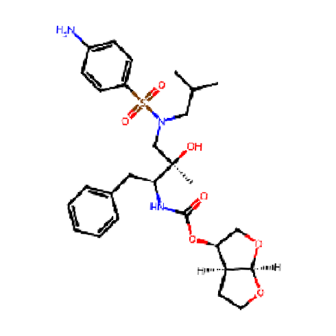 CC(C)CN(C[C@@](C)(O)[C@H](Cc1ccccc1)NC(=O)O[C@H]1CO[C@H]2OCC[C@H]21)S(=O)(=O)c1ccc(N)cc1